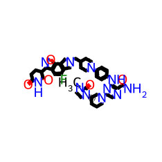 CN1CCN([C@@H]2CCCN(c3cnc(C(N)=O)c(Nc4ccc(N5CCC(CN6Cc7c(F)cc8c(C9CCC(=O)NC9=O)noc8c7C6)CC5)cc4)n3)C2)C1=O